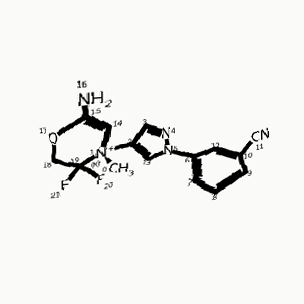 C[N@+]1(c2cnn(-c3cccc(C#N)c3)c2)C=C(N)OCC1(F)F